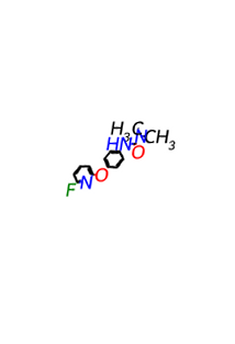 CN(C)C(=O)Nc1ccc(Oc2cccc(F)n2)cc1